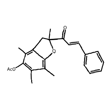 CC(=O)Oc1c(C)c(C)c2c(c1C)CC(C)(C(=O)/C=C/c1ccccc1)O2